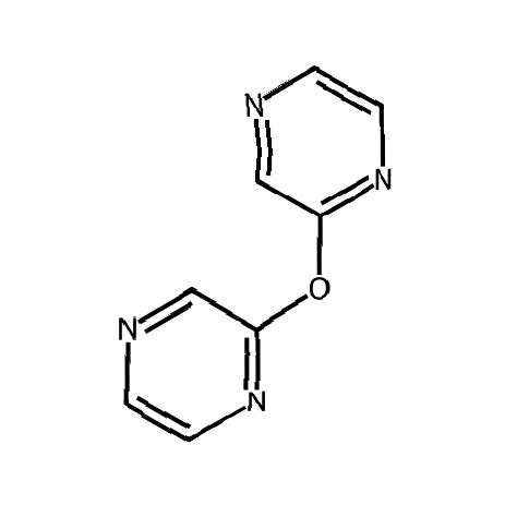 c1cnc(Oc2cnccn2)cn1